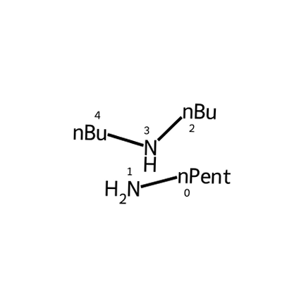 CCCCCN.CCCCNCCCC